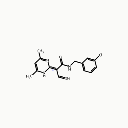 CC1=CC(C)=N/C(=C(/C=N)C(=O)NCc2cccc(Cl)c2)N1